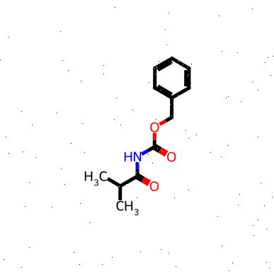 CC(C)C(=O)NC(=O)OCc1ccccc1